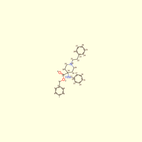 O=C(OCc1ccccc1)C1(Nc2ccccc2)CCN(CCc2ccccc2)CC1